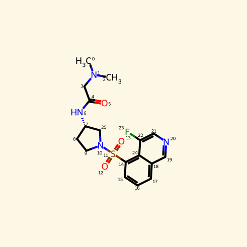 CN(C)CC(=O)N[C@H]1CCN(S(=O)(=O)c2cccc3cncc(F)c23)C1